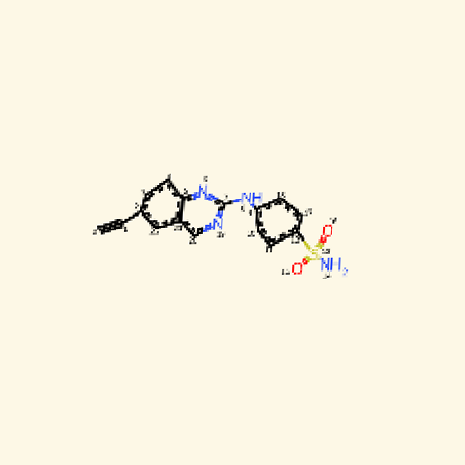 C#Cc1ccc2nc(Nc3ccc(S(N)(=O)=O)cc3)ncc2c1